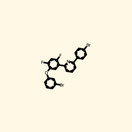 Fc1cc(F)c(-c2cccc(-c3ccc(Br)cc3)n2)cc1Oc1cccc(Br)c1